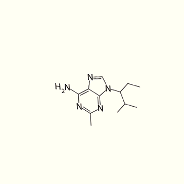 CCC(C(C)C)n1cnc2c(N)nc(C)nc21